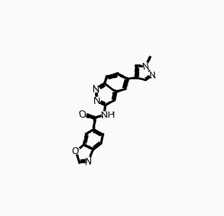 Cn1cc(-c2ccc3nnc(NC(=O)c4ccc5ncoc5c4)cc3c2)cn1